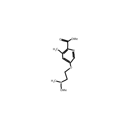 COC(=O)c1ncc(OCCN(C)OC)cc1C